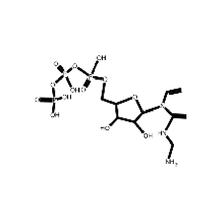 C=CN(C(=C)NCN)C1OC(COP(=O)(O)OP(=O)(O)OP(=O)(O)O)C(O)C1O